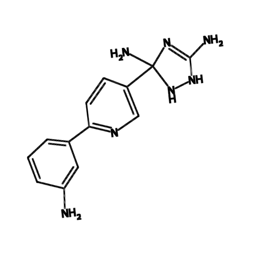 NC1=NC(N)(c2ccc(-c3cccc(N)c3)nc2)NN1